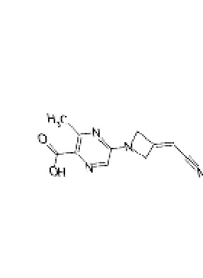 Cc1nc(N2CC(=CC#N)C2)cnc1C(=O)O